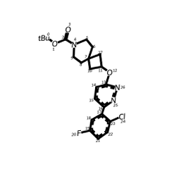 CC(C)(C)OC(=O)N1CCC2(CC1)CC(Oc1ccc(-c3cc(F)ccc3Cl)nn1)C2